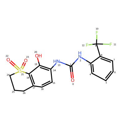 O=C(Nc1ccccc1C(F)(F)F)Nc1ccc2c(c1O)S(=O)(=O)CCC2